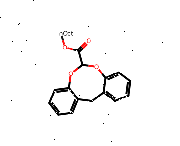 CCCCCCCCOC(=O)C1Oc2ccccc2Cc2ccccc2O1